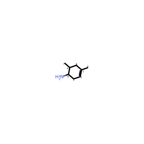 CC1=CCC(N)C(C)C1